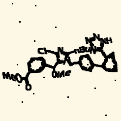 CCCCc1nc(Cl)c(C(OC)c2cccc(C(=O)OC)c2)n1Cc1ccc(-c2ccccc2-c2nnn[nH]2)cc1